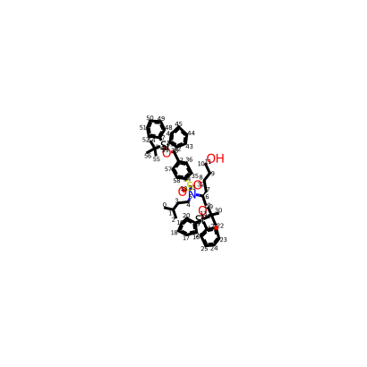 CC(C)CCN([C@@H](CCCCO)CO[Si](c1ccccc1)(c1ccccc1)C(C)(C)C)S(=O)(=O)c1ccc(CO[Si](c2ccccc2)(c2ccccc2)C(C)(C)C)cc1